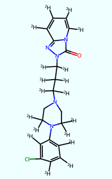 [2H]c1c([2H])c(Cl)c([2H])c(N2C([2H])([2H])CN(C([2H])([2H])C([2H])([2H])C([2H])([2H])n3nc4c([2H])c([2H])c([2H])c([2H])n4c3=O)CC2([2H])[2H])c1[2H]